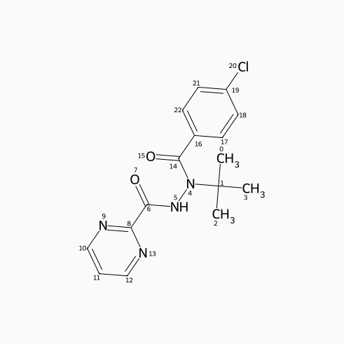 CC(C)(C)N(NC(=O)c1ncccn1)C(=O)c1ccc(Cl)cc1